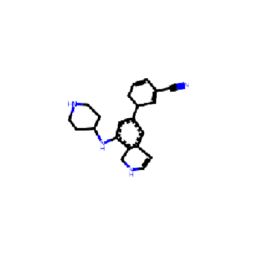 N#CC1=CC(c2cc3c(c(NC4CCNCC4)c2)CNC=C3)CC=C1